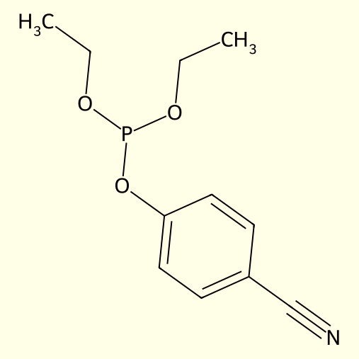 CCOP(OCC)Oc1ccc(C#N)cc1